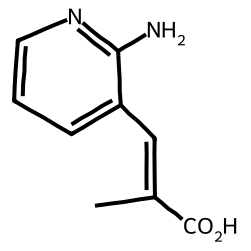 CC(=Cc1cccnc1N)C(=O)O